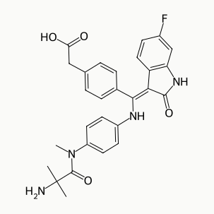 CN(C(=O)C(C)(C)N)c1ccc(N/C(=C2\C(=O)Nc3cc(F)ccc32)c2ccc(CC(=O)O)cc2)cc1